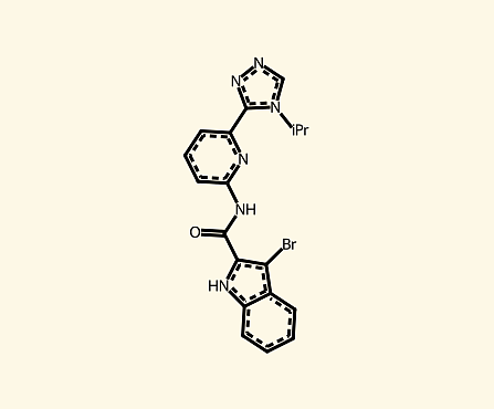 CC(C)n1cnnc1-c1cccc(NC(=O)c2[nH]c3ccccc3c2Br)n1